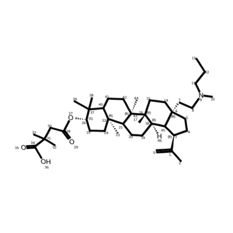 C=C(C)[C@@H]1CC[C@]2(CCN(C)CCC)CC[C@]3(C)[C@H](CCC4[C@@]5(C)CC[C@H](OC(=O)CC(C)(C)C(=O)O)C(C)(C)C5CC[C@]43C)C12